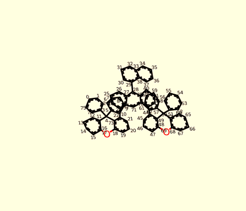 c1ccc(C2(c3ccccc3)c3ccccc3Oc3cccc(-c4cccc5c(-c6cccc7ccccc67)c6cccc(-c7cccc8c7C(c7ccccc7)(c7ccccc7)c7ccccc7O8)c6cc45)c32)cc1